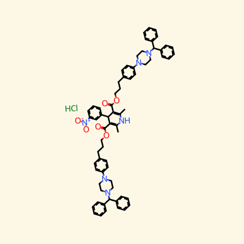 CC1=C(C(=O)OCCCc2ccc(N3CCN(C(c4ccccc4)c4ccccc4)CC3)cc2)C(c2cccc([N+](=O)[O-])c2)C(C(=O)OCCCc2ccc(N3CCN(C(c4ccccc4)c4ccccc4)CC3)cc2)=C(C)N1.Cl